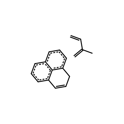 C1=Cc2cccc3cccc(c23)C1.C=CC(=C)C